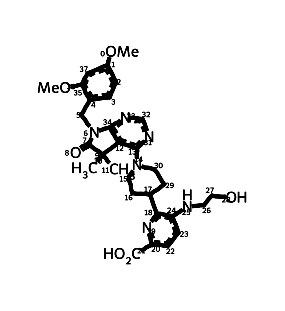 COc1ccc(CN2C(=O)C(C)(C)c3c(N4CCC(c5nc(C(=O)O)ccc5NCCO)CC4)ncnc32)c(OC)c1